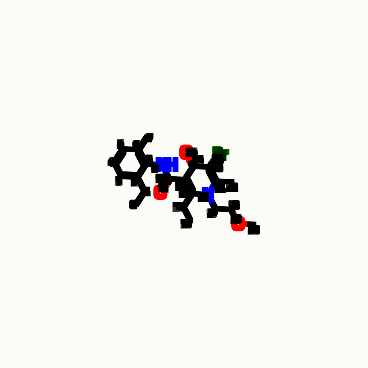 CCc1cccc(C)c1NC(=O)c1c(CC)n(CCOC)c(C)c(Br)c1=O